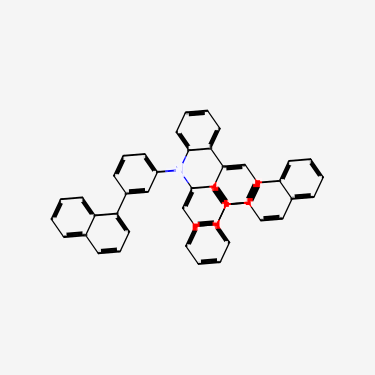 c1ccc(-c2cccc(-c3ccccc3N(c3cccc(-c4ccc5ccccc5c4)c3)c3cccc(-c4cccc5ccccc45)c3)c2)cc1